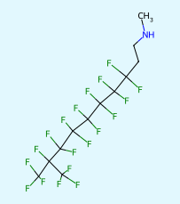 CNCCC(F)(F)C(F)(F)C(F)(F)C(F)(F)C(F)(F)C(F)(F)C(F)(C(F)(F)F)C(F)(F)F